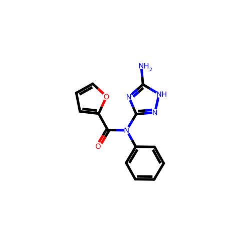 Nc1nc(N(C(=O)c2ccco2)c2ccccc2)n[nH]1